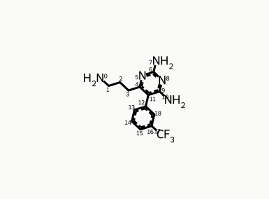 NCCCc1nc(N)nc(N)c1-c1cccc(C(F)(F)F)c1